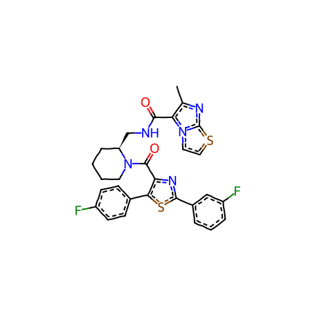 Cc1nc2sccn2c1C(=O)NC[C@@H]1CCCCN1C(=O)c1nc(-c2cccc(F)c2)sc1-c1ccc(F)cc1